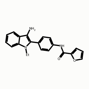 CCn1c(-c2ccc(NC(=O)c3ccco3)cc2)c(N)c2ccccc21